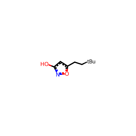 CC(C)(C)CCc1cc(O)no1